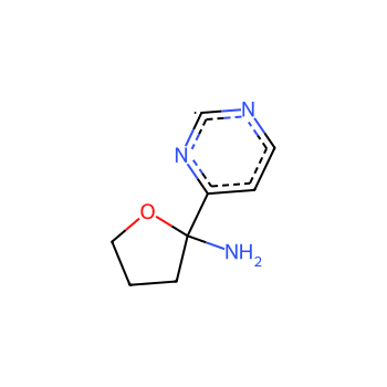 NC1(c2ccn[c]n2)CCCO1